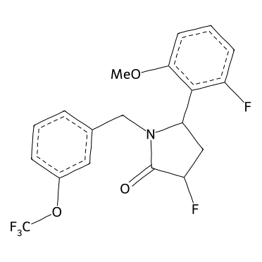 COc1cccc(F)c1C1CC(F)C(=O)N1Cc1cccc(OC(F)(F)F)c1